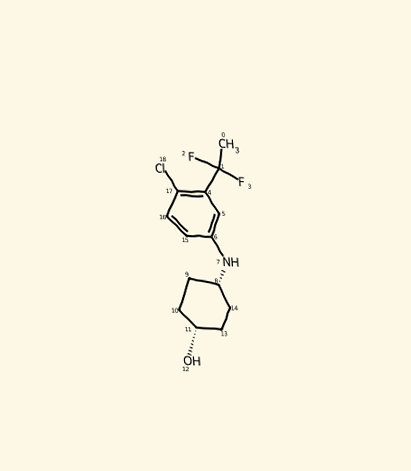 CC(F)(F)c1cc(N[C@H]2CC[C@@H](O)CC2)ccc1Cl